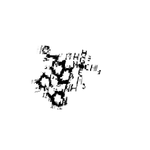 CC(C)(C)Nc1nc(Nc2cc(CN3CCCCC3)ccn2)cc2ccn(CCO)c(=O)c12